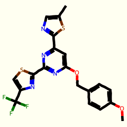 COc1ccc(COc2cc(-c3ncc(C)s3)nc(-c3nc(C(F)(F)F)cs3)n2)cc1